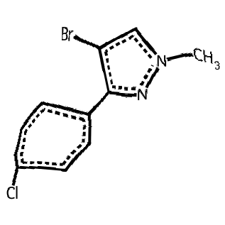 Cn1cc(Br)c(-c2ccc(Cl)cc2)n1